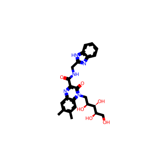 Cc1cc2nc(C(=O)NCc3nc4ccccc4[nH]3)c(=O)n(C[C@H](O)[C@H](O)[C@H](O)CO)c2cc1C